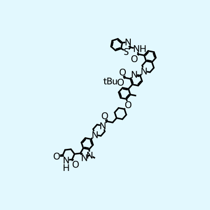 Cc1c(OC2CCC(CC(=O)N3CCN(c4ccc5c(C6CCC(=O)NC6=O)nn(C)c5c4)CC3)CC2)cccc1-c1ccc(N2CCc3cccc(C(=O)Nc4nc5ccccc5s4)c3C2)nc1C(=O)OC(C)(C)C